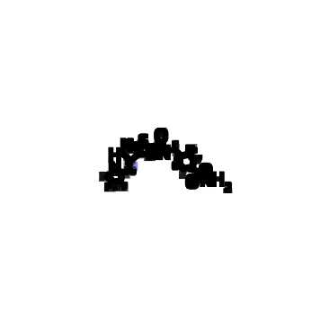 NS(=O)(=O)c1ccc(CNC(=O)c2cc3c(s2)N=C/C3=C\c2ccc[nH]2)cc1